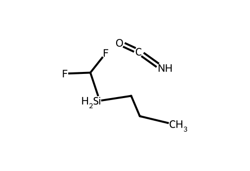 CCC[SiH2]C(F)F.N=C=O